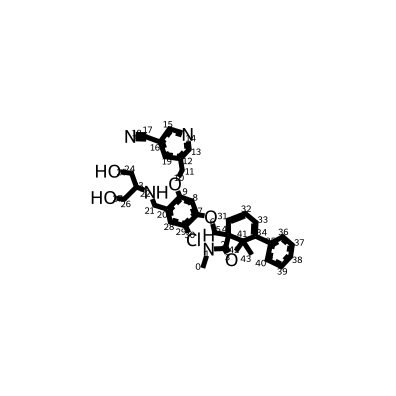 CNC(=O)C1(COc2cc(OCc3cncc(C#N)c3)c(CNC(CO)CO)cc2Cl)C=CC=C(c2ccccc2)C1(C)C